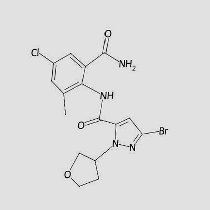 Cc1cc(Cl)cc(C(N)=O)c1NC(=O)c1cc(Br)nn1C1CCOC1